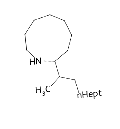 CCCCCCCCC(C)C1CCCCCCCN1